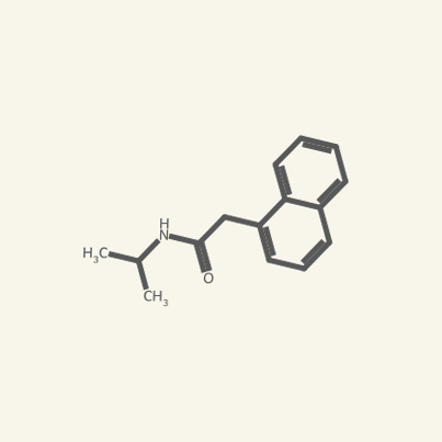 CC(C)NC(=O)Cc1cccc2ccccc12